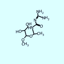 COC(OC(C)NC(=O)N=C(N)N)C(O)CO